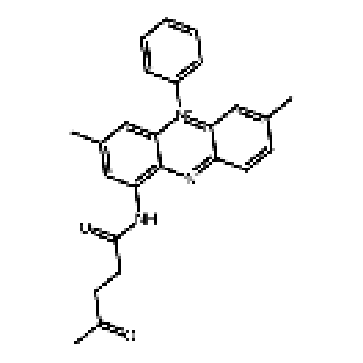 CC(=O)CCC(=O)Nc1cc(C)cc2c1nc1ccc(C)cc1[n+]2-c1ccccc1